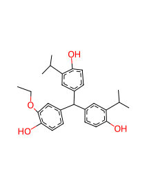 CCOc1cc(C(c2ccc(O)c(C(C)C)c2)c2ccc(O)c(C(C)C)c2)ccc1O